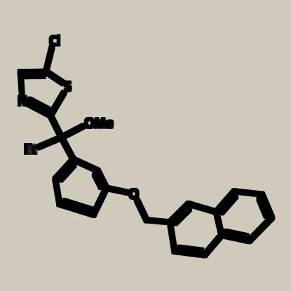 CCC(OC)(c1cccc(OCc2ccc3ccccc3c2)c1)c1ncc(Cl)s1